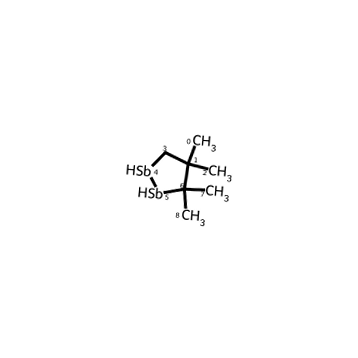 CC1(C)[CH2][SbH][SbH][C]1(C)C